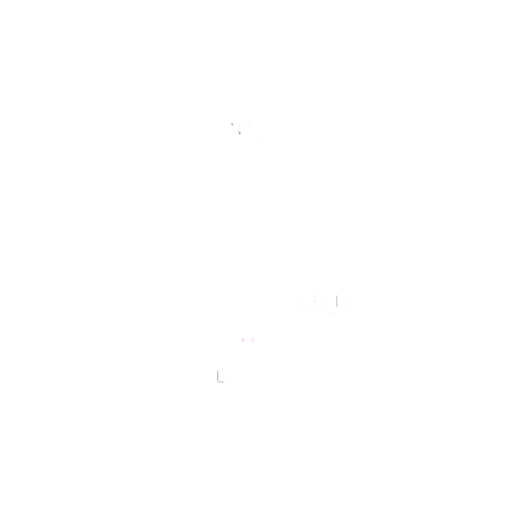 CCOCC(CC(=O)O)c1cccc([N+](=O)[O-])c1